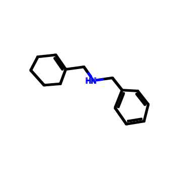 C1=C(CNCc2ccccc2)CCCC1